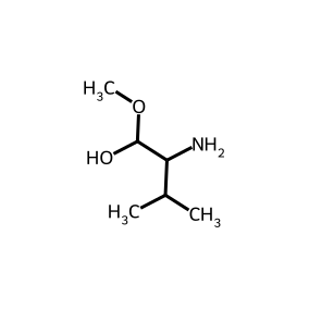 COC(O)C(N)C(C)C